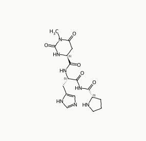 CN1C(=O)C[C@@H](C(=O)N[C@@H](Cc2cnc[nH]2)C(=O)NC(=O)[C@@H]2CCCN2)NC1=O